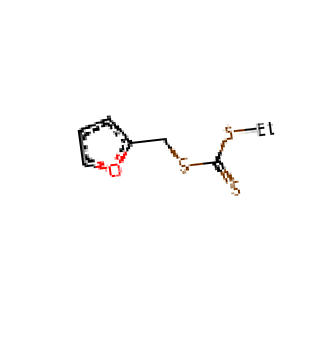 CCSC(=S)SCc1ccco1